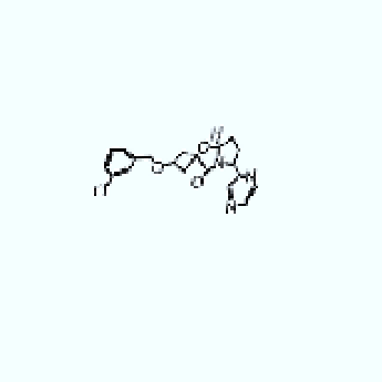 O=C1N2[C@@H](CC[C@H]2c2cnccn2)OC12CC(OCc1cccc(Cl)c1)C2